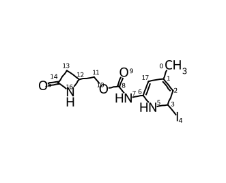 CC1=CC(I)NC(NC(=O)OCC2CC(=O)N2)=C1